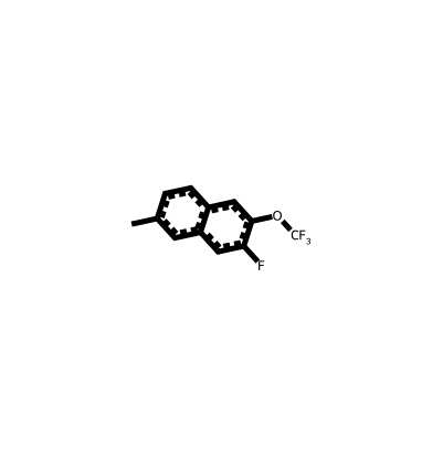 Cc1ccc2cc(OC(F)(F)F)c(F)cc2c1